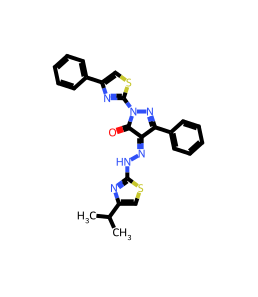 CC(C)c1csc(N/N=C2\C(=O)N(c3nc(-c4ccccc4)cs3)N=C2c2ccccc2)n1